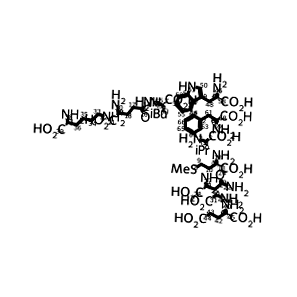 CC(C)[C@H](N)C(=O)O.CC[C@H](C)[C@H](N)C(=O)O.CSCC[C@H](N)C(=O)O.NC(=O)CC[C@H](N)C(=O)O.NC(=O)C[C@H](N)C(=O)O.NCC(=O)O.NCCCC[C@H](N)C(=O)O.N[C@@H](CCC(=O)O)C(=O)O.N[C@@H](Cc1c[nH]c2ccccc12)C(=O)O.N[C@@H](Cc1ccccc1)C(=O)O